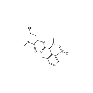 COC(=O)[C@H](CCO)NC(=O)C(OC)c1c(C)cccc1[N+](=O)[O-]